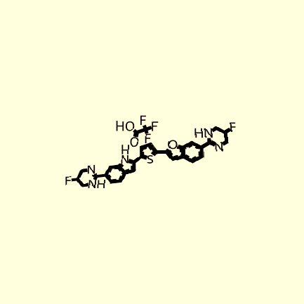 FC1CN=C(c2ccc3cc(-c4ccc(-c5cc6ccc(C7=NCC(F)CN7)cc6o5)s4)[nH]c3c2)NC1.O=C(O)C(F)(F)F